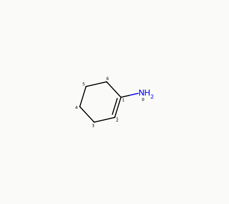 NC1=[C]CCCC1